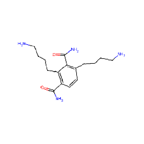 NCCCCc1ccc(C(N)=O)c(CCCCN)c1C(N)=O